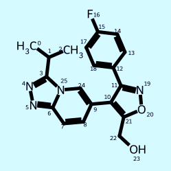 CC(C)c1nnc2ccc(-c3c(-c4ccc(F)cc4)noc3CO)cn12